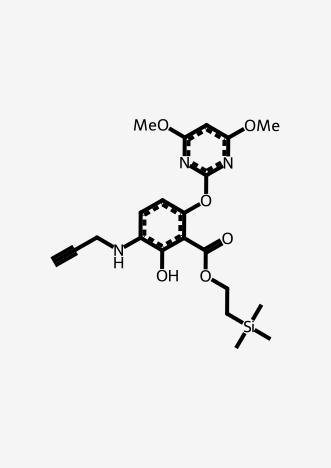 C#CCNc1ccc(Oc2nc(OC)cc(OC)n2)c(C(=O)OCC[Si](C)(C)C)c1O